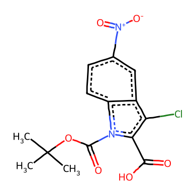 CC(C)(C)OC(=O)n1c(C(=O)O)c(Cl)c2cc([N+](=O)[O-])ccc21